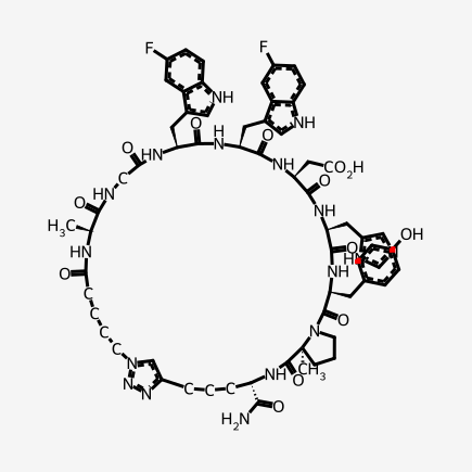 C[C@@H]1NC(=O)CCCCn2cc(nn2)CCC[C@@H](C(N)=O)NC(=O)[C@]2(C)CCCN2C(=O)[C@H](Cc2ccc(O)cc2)NC(=O)[C@H](Cc2cnc[nH]2)NC(=O)[C@H](CC(=O)O)NC(=O)[C@H](Cc2c[nH]c3ccc(F)cc23)NC(=O)[C@H](Cc2c[nH]c3ccc(F)cc23)NC(=O)CNC1=O